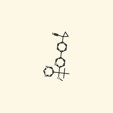 COC(c1cncnc1)(c1ccc(-c2ccc(C3(C#N)CC3)cc2)cn1)C(C)(C)C